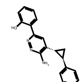 Nc1nnc(-c2ccccc2O)cc1[C@@H]1C[C@H]1c1ccccc1